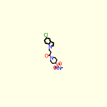 CNS(=O)(=O)C1CCN(C(=O)CCn2ccc3cc(Cl)ccc32)CC1